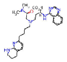 CN(C)C(=O)CN(CCCCc1ccc2c(n1)NCCC2)CC[C@H](Nc1ncnc2ccccc12)C(=O)O